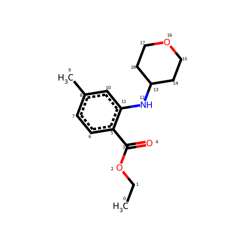 CCOC(=O)c1ccc(C)cc1NC1CCOCC1